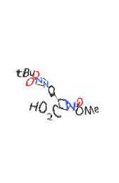 COC(=O)N1C[C@H](c2ccc(N3CCN(C(=O)OC(C)(C)C)CC3)cc2)[C@H](C(=O)O)C1